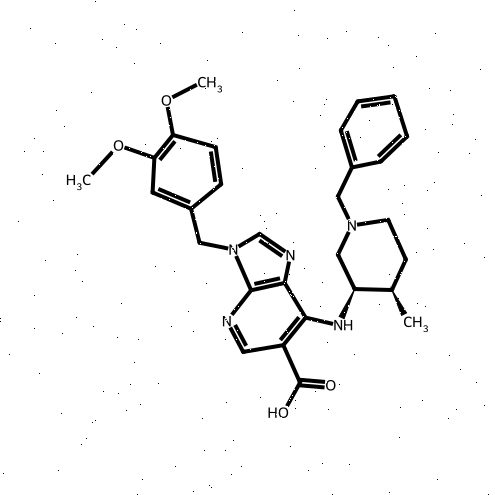 COc1ccc(Cn2cnc3c(N[C@H]4CN(Cc5ccccc5)CC[C@H]4C)c(C(=O)O)cnc32)cc1OC